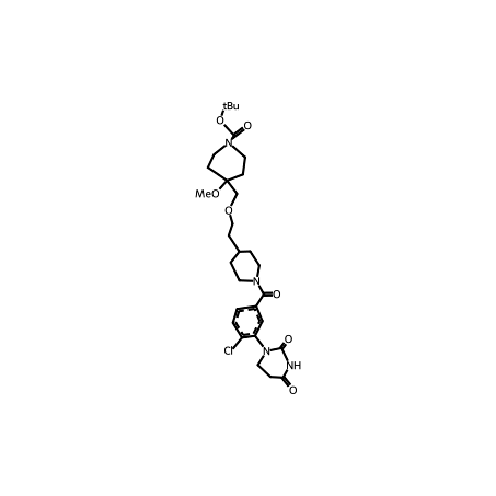 COC1(COCCC2CCN(C(=O)c3ccc(Cl)c(N4CCC(=O)NC4=O)c3)CC2)CCN(C(=O)OC(C)(C)C)CC1